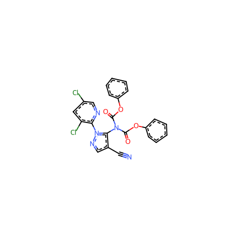 N#Cc1cnn(-c2ncc(Cl)cc2Cl)c1N(C(=O)Oc1ccccc1)C(=O)Oc1ccccc1